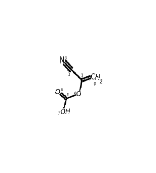 C=C(C#N)OC(=O)O